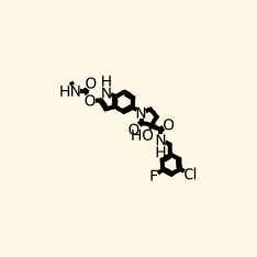 CNC(=O)Oc1cc2cc(N3CC[C@](O)(C(=O)NCc4cc(F)cc(Cl)c4)C3=O)ccc2[nH]1